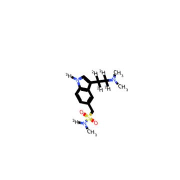 [2H]N(C)S(=O)(=O)Cc1ccc2c(c1)c(C([2H])([2H])C([2H])([2H])N(C)C)cn2[2H]